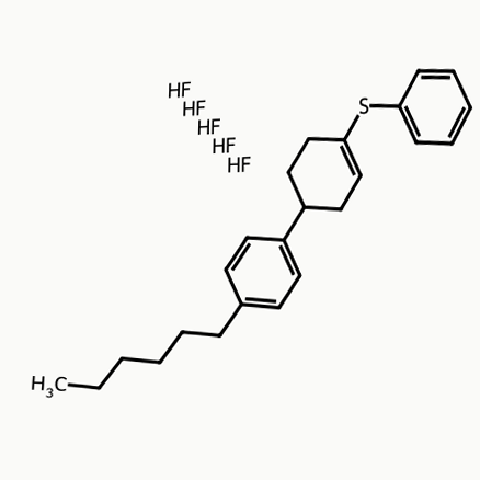 CCCCCCc1ccc(C2CC=C(Sc3ccccc3)CC2)cc1.F.F.F.F.F